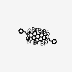 O=C1c2c(Br)c(Br)c3c4c(Br)c(Br)c5c6c(c(Br)c(Br)c(c7c(Br)c(Br)c(c2c37)C(=O)N1CCc1ccccc1)c64)C(=O)N(CCc1ccccc1)C5=O